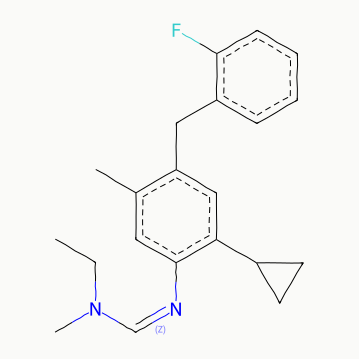 CCN(C)/C=N\c1cc(C)c(Cc2ccccc2F)cc1C1CC1